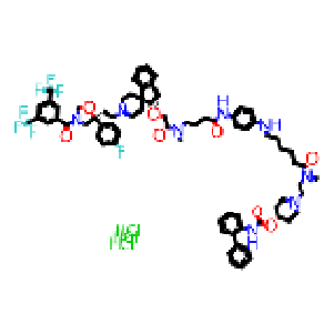 CN(CCN1CCC(OC(=O)Nc2ccccc2-c2ccccc2)CC1)C(=O)CCCCCNc1ccc(NC(=O)CCCN(C)C(=O)CO[C@H]2Cc3ccccc3C23CCN(CC[C@]2(c4ccc(F)cc4)CN(C(=O)c4cc(C(F)(F)F)cc(C(F)(F)F)c4)CO2)CC3)cc1.Cl.Cl.Cl